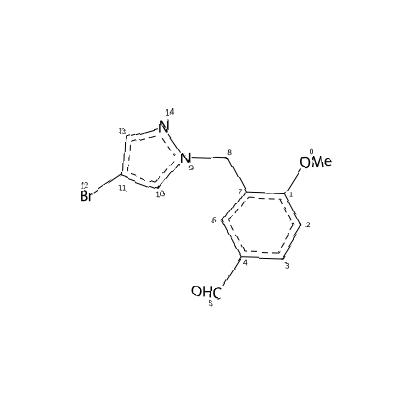 COc1ccc(C=O)cc1Cn1cc(Br)cn1